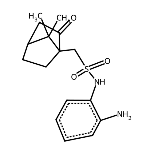 CC1(C)C2CCC1(CS(=O)(=O)Nc1ccccc1N)C(=O)C2